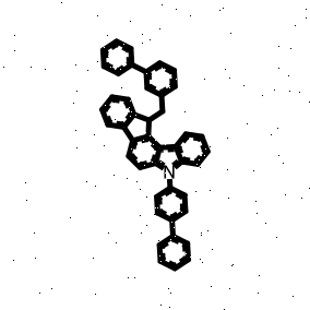 c1ccc(-c2ccc(-n3c4ccccc4c4c5c(ccc43)-c3ccccc3C5Cc3cccc(-c4ccccc4)c3)cc2)cc1